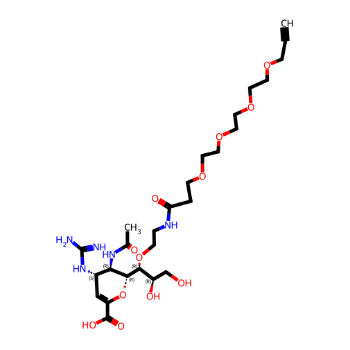 C#CCOCCOCCOCCOCCC(=O)NCCO[C@@H]([C@@H]1OC(C(=O)O)=C[C@H](NC(=N)N)[C@H]1NC(C)=O)[C@H](O)CO